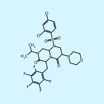 CC(C)N1CC2N(C(=O)C(N3CCOCC3)CN2S(=O)(=O)c2ccc(Cl)cc2Cl)C(Cc2c(F)c(F)c(F)c(F)c2F)C1=O